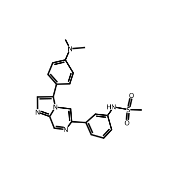 CN(C)c1ccc(-c2cnc3cnc(-c4cccc(NS(C)(=O)=O)c4)cn23)cc1